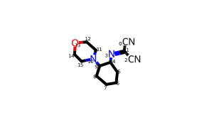 N#CC(C#N)=NC1CCCCC1N1CCOCC1